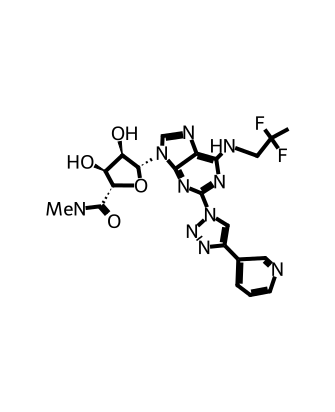 CNC(=O)[C@H]1O[C@@H](n2cnc3c(NCC(C)(F)F)nc(-n4cc(-c5cccnc5)nn4)nc32)[C@H](O)[C@@H]1O